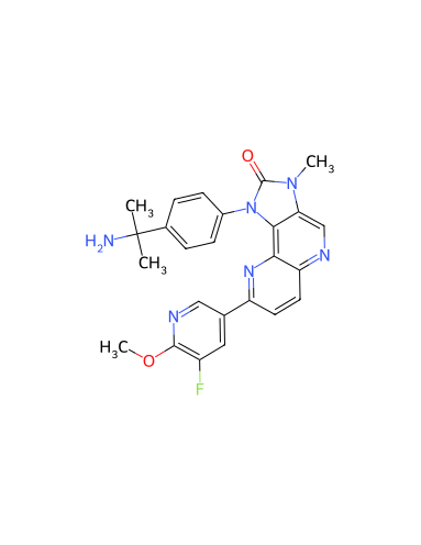 COc1ncc(-c2ccc3ncc4c(c3n2)n(-c2ccc(C(C)(C)N)cc2)c(=O)n4C)cc1F